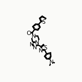 CN(C)c1ccc(-c2nc(-c3nnc4n3CCN(C(=O)c3ccc(-c5cccs5)cc3)C4)cs2)cc1